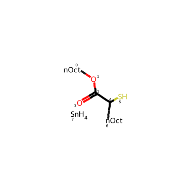 CCCCCCCCOC(=O)C(S)CCCCCCCC.[SnH4]